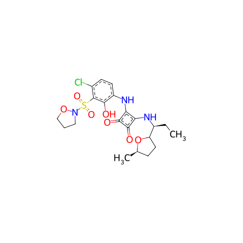 CC[C@H](Nc1c(Nc2ccc(Cl)c(S(=O)(=O)N3CCCO3)c2O)c(=O)c1=O)C1CC[C@@H](C)O1